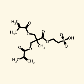 C=C(C)C(=O)OCC(C)(COC(=O)C(=C)C)C(=O)OCCS(=O)(=O)O